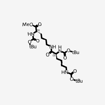 COC(=O)[C@H](CCCCNC(=O)[C@H](CCCCNC(=O)OC(C)(C)C)NC(=O)OC(C)(C)C)NC(=O)OC(C)(C)C